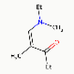 CCC(=O)/C(C)=C\N(C)CC